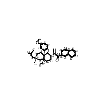 COc1cccc([C@]23CC[N@@+](C)(CC(C)C)CC2(OC)CC[C@@H](NC(=O)c2ccc4ccccc4c2)C3)c1